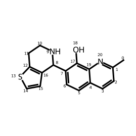 Cc1ccc2ccc(C3NCCc4sccc43)c(O)c2n1